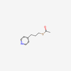 CC(=O)SCCCc1ccncc1